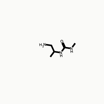 CNC(=O)NC(C)CN